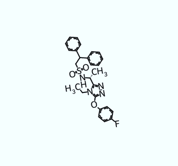 CCn1c(Oc2ccc(F)cc2)nnc1[C@@H](C)NS(=O)(=O)CC(c1ccccc1)c1ccccc1